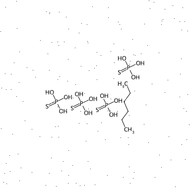 CCCCCC.OP(O)(O)=S.OP(O)(O)=S.OP(O)(O)=S.OP(O)(O)=S